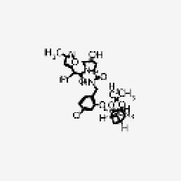 Cc1cc(C(C(=O)N2C[C@H](O)C[C@H]2C(=O)NCc2ccc(Cl)cc2OC[C@]23OC(C)(C)O[C@H]2C[C@H]2C[C@@H]3C2(C)C)C(C)C)on1